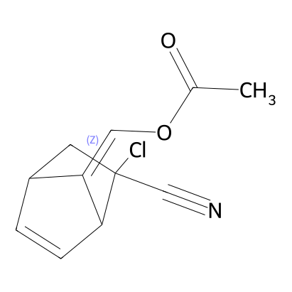 CC(=O)O/C=C1/C2C=CC1C(Cl)(C#N)C2